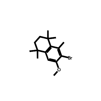 COc1cc2c(c(C)c1Br)C(C)(C)CCC2(C)C